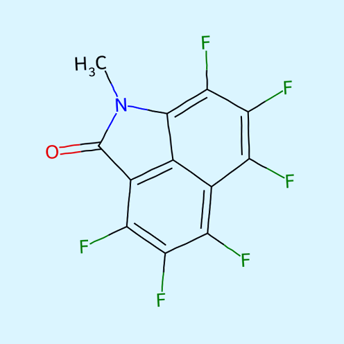 CN1C(=O)c2c(F)c(F)c(F)c3c(F)c(F)c(F)c1c23